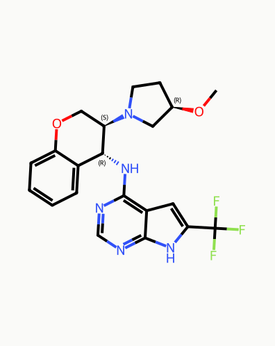 CO[C@@H]1CCN([C@@H]2COc3ccccc3[C@H]2Nc2ncnc3[nH]c(C(F)(F)F)cc23)C1